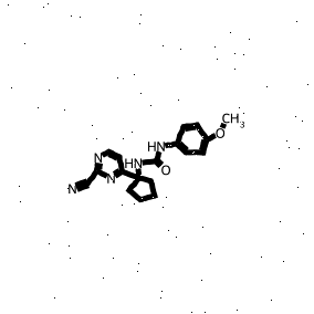 COc1ccc(NC(=O)NC2(c3ccnc(C#N)n3)CCCC2)cc1